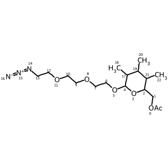 CC(=O)OCC1OC(OCCOCCOCCN=[N+]=[N-])C(C)C(C)C1C